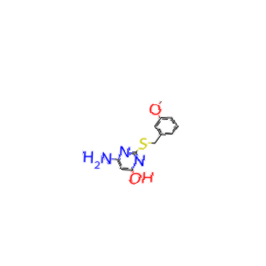 COc1cccc(CSc2nc(N)cc(O)n2)c1